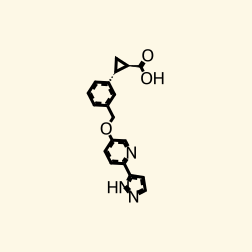 O=C(O)[C@@H]1C[C@H]1c1cccc(COc2ccc(-c3ccn[nH]3)nc2)c1